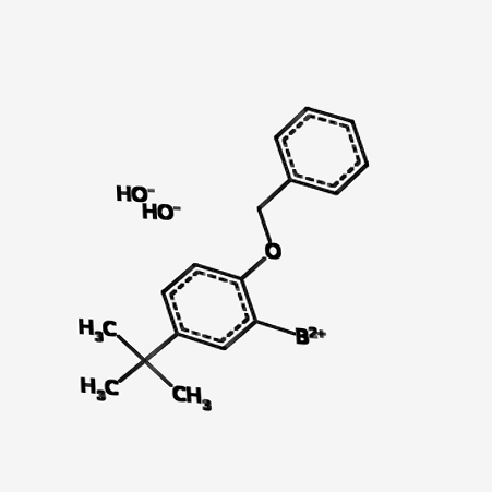 [B+2]c1cc(C(C)(C)C)ccc1OCc1ccccc1.[OH-].[OH-]